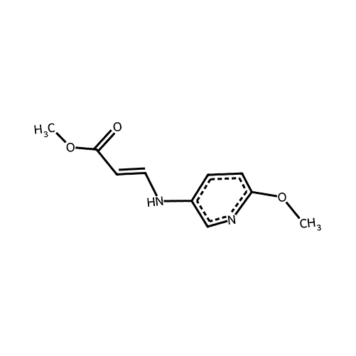 COC(=O)C=CNc1ccc(OC)nc1